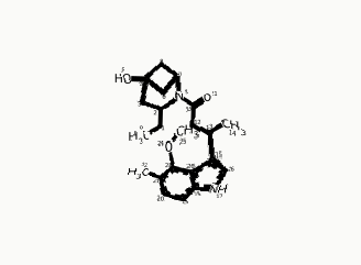 CCC1CC2(O)CC(C2)N1C(=O)CC(C)c1c[nH]c2ccc(C)c(OC)c12